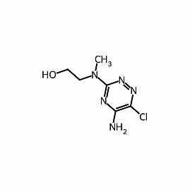 CN(CCO)c1nnc(Cl)c(N)n1